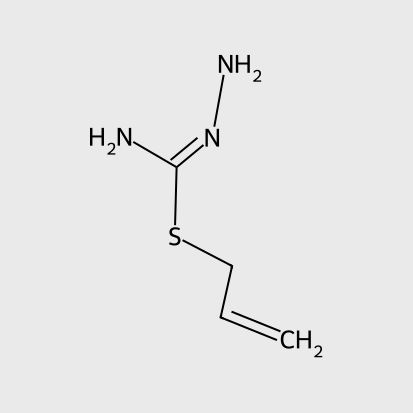 C=CCSC(N)=NN